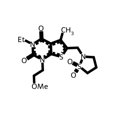 CCn1c(=O)c2c(C)c(CN3CCCS3(=O)=O)sc2n(CCOC)c1=O